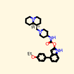 CCOc1ccc(-c2cccc3[nH]c(OC(=O)NC4CCN(C[C@@H]5CCCN6CCCC[C@H]56)CC4)cc23)cc1